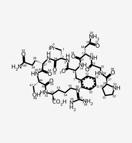 CC(C)C[C@H](NC(=O)[C@H](Cc1ccccc1)NC(=O)[C@H](CC(N)=O)NC(=O)CNC(=O)[C@@H]1CCCN1)C(=O)N[C@@H](CCC(N)=O)C(=O)N[C@@H](CO)C(=O)N[C@@H](CCCN=C(N)N)C(=O)O